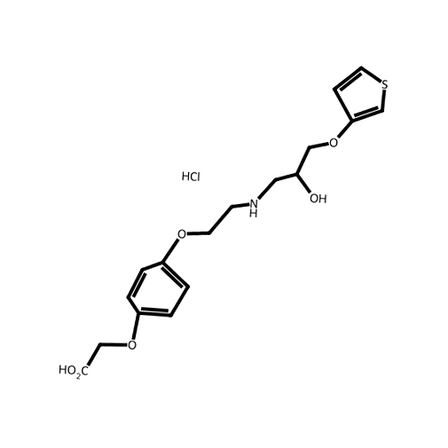 Cl.O=C(O)COc1ccc(OCCNCC(O)COc2ccsc2)cc1